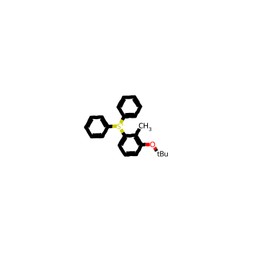 Cc1c(OC(C)(C)C)cccc1[S+](c1ccccc1)c1ccccc1